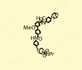 CCCS(=O)(=O)N1CCN(Cc2ccc(NC(=O)c3ccc(-c4cc(C(=O)Nc5ccc(N6CCOCC6)cc5C)ccc4OC)cc3)cc2)CC1